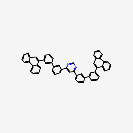 c1cc(-c2cccc(-c3cc4ccccc4c4ccccc34)c2)cc(-c2cc(-c3cccc(-c4cccc(-c5cc6ccccc6c6ccccc56)c4)c3)ncn2)c1